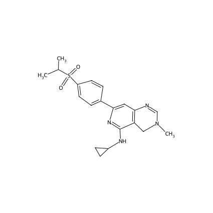 CC(C)S(=O)(=O)c1ccc(-c2cc3c(c(NC4CC4)n2)CN(C)C=N3)cc1